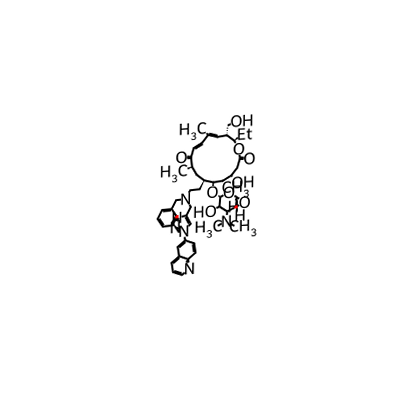 CC[C@H]1OC(=O)C[C@@H](O)[C@H](C)[C@@H](O[C@@H]2O[C@@H]3O[C@H]3C(N(C)C)C2O)[C@@H](CCN(Cc2ccccc2)Cc2cn(-c3ccc4ncccc4c3)nn2)C[C@@H](C)C(=O)/C=C/C(C)=C/[C@@H]1CO